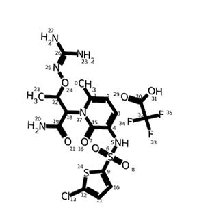 Cc1ccc(NS(=O)(=O)c2ccc(Cl)s2)c(=O)n1C(C(N)=O)C(C)ON=C(N)N.O=C(O)C(F)(F)F